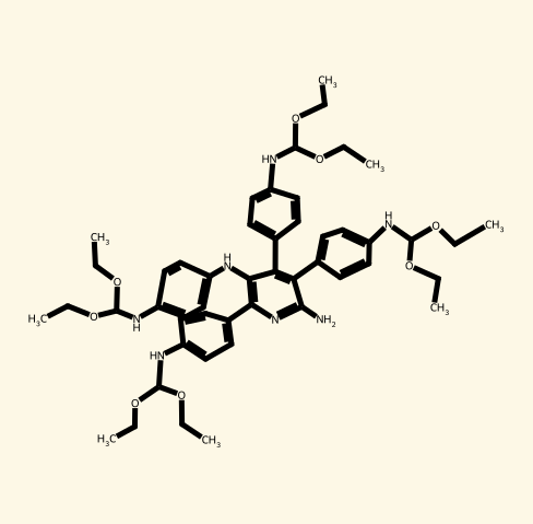 CCOC(Nc1ccc(Nc2c(-c3ccc(NC(OCC)OCC)cc3)nc(N)c(-c3ccc(NC(OCC)OCC)cc3)c2-c2ccc(NC(OCC)OCC)cc2)cc1)OCC